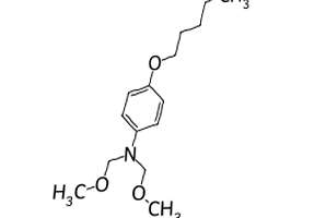 CCCCCOc1ccc(N(COC)COC)cc1